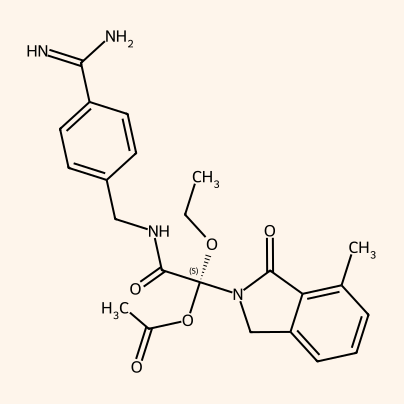 CCO[C@](OC(C)=O)(C(=O)NCc1ccc(C(=N)N)cc1)N1Cc2cccc(C)c2C1=O